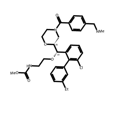 CCc1cccc(-c2c(Cl)cccc2[C@H](OCCNC(=O)OC)[C@H]2CN(C(=O)c3ccc(CNC)cc3)CCO2)c1